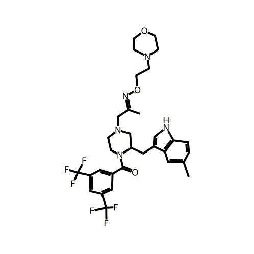 C/C(CN1CCN(C(=O)c2cc(C(F)(F)F)cc(C(F)(F)F)c2)C(Cc2c[nH]c3ccc(C)cc23)C1)=N\OCCN1CCOCC1